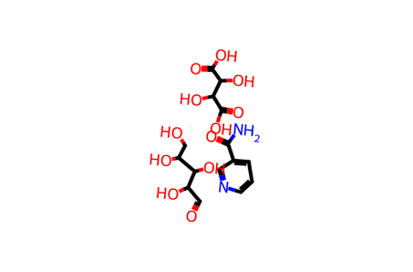 NC(=O)c1cccnc1.O=C(O)C(O)C(O)C(=O)O.O=CC(O)C(O)C(O)CO